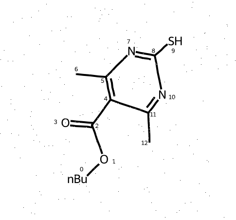 CCCCOC(=O)c1c(C)nc(S)nc1C